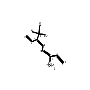 B/C(C=C)=C/C=C(\C=C)C(C)(C)C